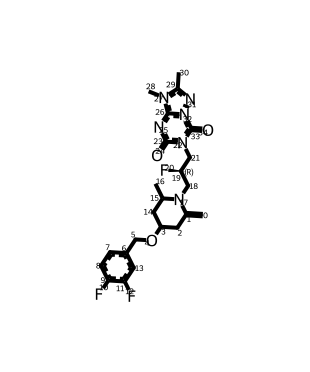 C=C1CC(OCc2ccc(F)c(F)c2)CC(C)N1C[C@@H](F)Cn1c(=O)nc2n(C)c(C)nn2c1=O